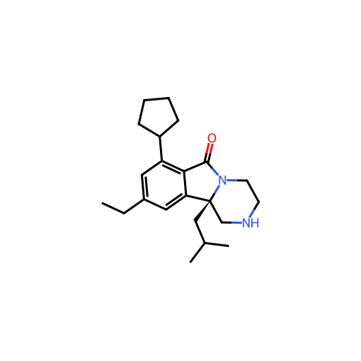 CCc1cc(C2CCCC2)c2c(c1)[C@@]1(CC(C)C)CNCCN1C2=O